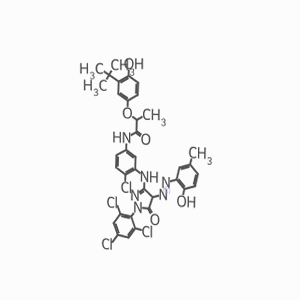 Cc1ccc(O)c(/N=N/C2C(=O)N(c3c(Cl)cc(Cl)cc3Cl)N=C2Nc2cc(NC(=O)C(C)Oc3ccc(O)c(C(C)(C)C)c3)ccc2Cl)c1